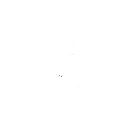 CC(C)(C)N1CCC2(CC1)COC[C@H]2N